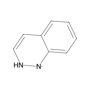 C1=Cc2ccccc2[N]N1